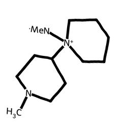 C[N][N+]1(C2CCN(C)CC2)CCCCC1